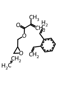 C=C.C=C(C)C(=O)OCC1CO1.C=Cc1ccccc1C=C